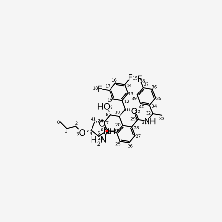 CCCO[C@H]1CN[C@@H]([C@H](O)[C@@H](Cc2cc(F)cc(F)c2)c2c(C(N)=O)cccc2C(=O)NC(C)c2ccc(F)cc2)C1